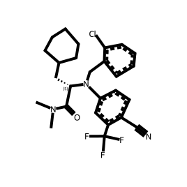 CN(C)C(=O)[C@H](CC1CCCCC1)N(Cc1ccccc1Cl)c1ccc(C#N)c(C(F)(F)F)c1